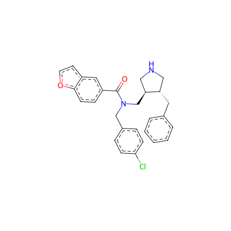 O=C(c1ccc2occc2c1)N(Cc1ccc(Cl)cc1)C[C@H]1CNC[C@@H]1Cc1ccccc1